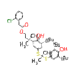 CC(C)(Sc1cc(C(C)(C)C)c(O)c(C(C)(C)C)c1)Sc1cc(C(C)(C)C)c(O)c(C(C)(C)CCOC(=O)Cc2ccccc2Cl)c1